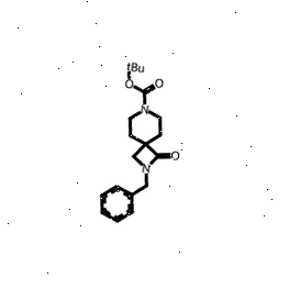 CC(C)(C)OC(=O)N1CCC2(CC1)CN(Cc1ccccc1)C2=O